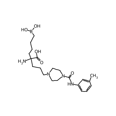 Cc1cccc(NC(=O)N2CCN(CCCC(N)(CCCCB(O)O)C(=O)O)CC2)c1